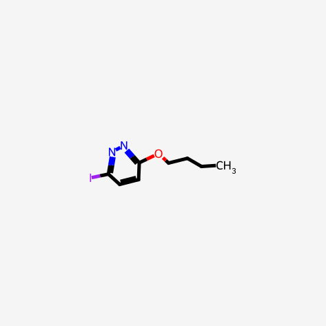 CCCCOc1ccc(I)nn1